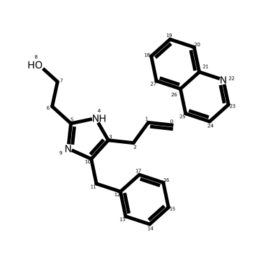 C=CCc1[nH]c(CCO)nc1Cc1ccccc1.c1ccc2ncccc2c1